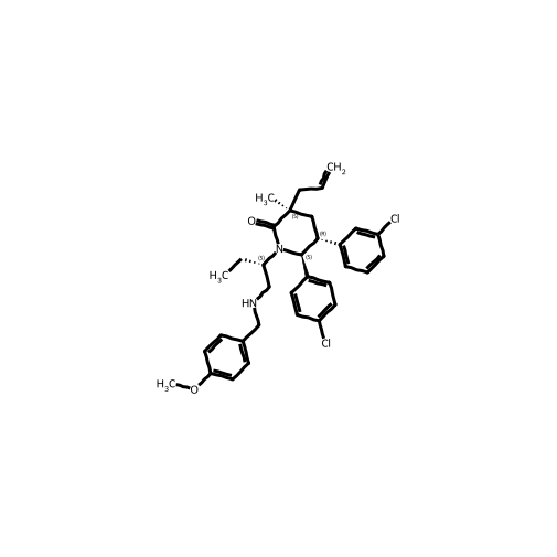 C=CC[C@@]1(C)C[C@H](c2cccc(Cl)c2)[C@@H](c2ccc(Cl)cc2)N([C@@H](CC)CNCc2ccc(OC)cc2)C1=O